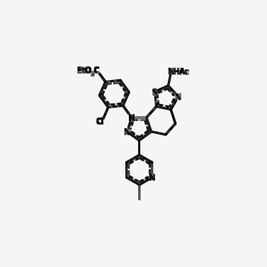 CCOC(=O)c1ccc(-n2nc(-c3ccc(C)nc3)c3c2-c2sc(NC(C)=O)nc2CC3)c(Cl)c1